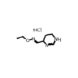 CCO/N=C/C1CCNC=N1.Cl